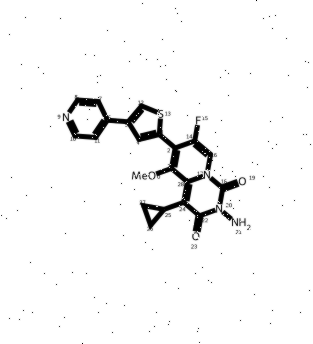 COc1c(-c2cc(-c3ccncc3)cs2)c(F)cn2c(=O)n(N)c(=O)c(C3CC3)c12